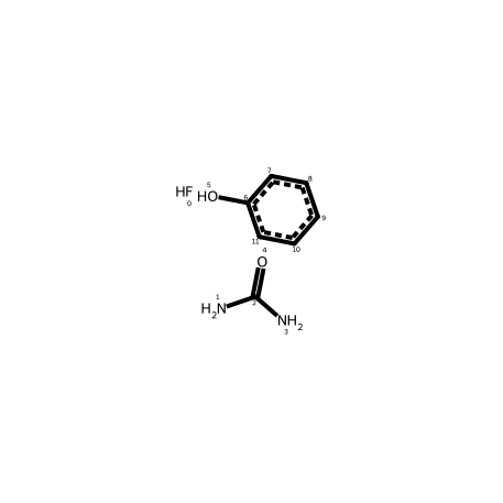 F.NC(N)=O.Oc1ccccc1